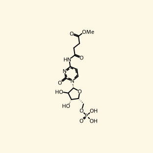 COC(=O)CCC(=O)Nc1ccn([C@@H]2O[C@H](COP(=O)(O)O)[C@H](O)C2O)c(=O)n1